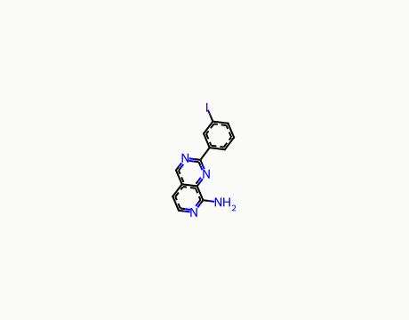 Nc1nccc2cnc(-c3cccc(I)c3)nc12